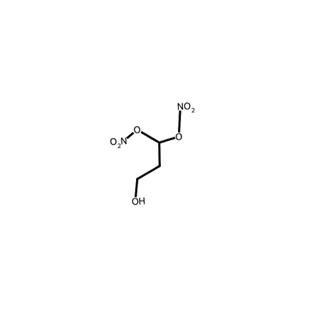 O=[N+]([O-])OC(CCO)O[N+](=O)[O-]